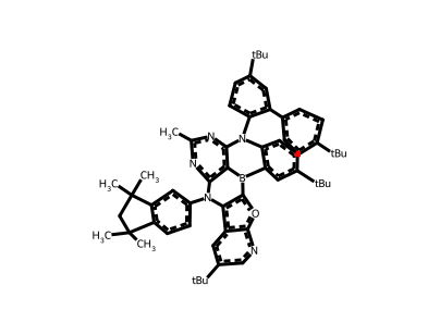 Cc1nc2c3c(n1)N(c1ccc4c(c1)C(C)(C)CC4(C)C)c1c(oc4ncc(C(C)(C)C)cc14)B3c1cc(C(C)(C)C)ccc1N2c1ccc(C(C)(C)C)cc1-c1ccc(C(C)(C)C)cc1